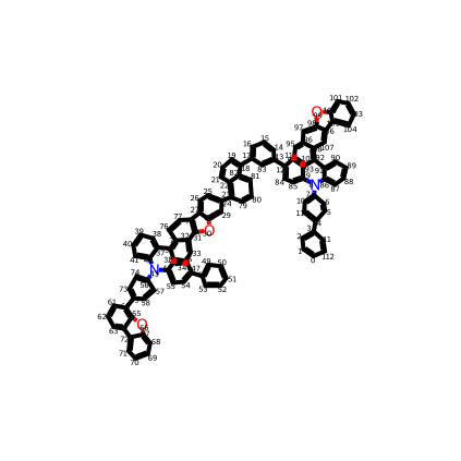 c1ccc(-c2ccc(N(c3ccc(-c4cccc(-c5cccc6c(-c7ccc8c(c7)oc7c9cccc(-c%10ccccc%10N(c%10ccc(-c%11ccccc%11)cc%10)c%10ccc(-c%11cccc%12c%11oc%11ccccc%11%12)cc%10)c9ccc87)cccc56)c4)cc3)c3ccccc3-c3cccc4cc5oc6ccccc6c5cc34)cc2)cc1